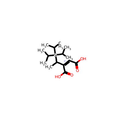 CC(C)[Si](C(C)C)(C(C)C)C(C)/C(=C/C(=O)O)C(=O)O